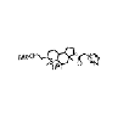 CCCS1(C)C(CCOC)CCC2C3CC[C@H](C(=O)Cn4ccnc4)C3(C)CCC21